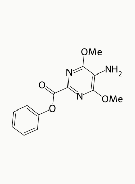 COc1nc(C(=O)Oc2ccccc2)nc(OC)c1N